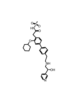 CS(=O)(=O)NC(=O)Cc1ccc(-c2ccc(CCNC[C@@H](O)c3cccnc3)cc2)cc1OC1CCCCC1